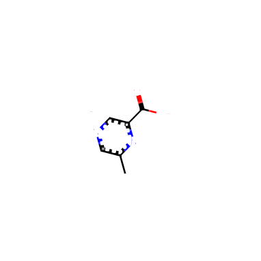 Cc1cncc(C(=O)O)n1.[KH]